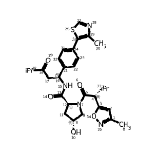 Cc1cc([C@H](C(=O)N2C[C@H](O)C[C@H]2C(=O)N[C@@H](CC(=O)C(C)C)c2ccc(-c3scnc3C)cc2)C(C)C)on1